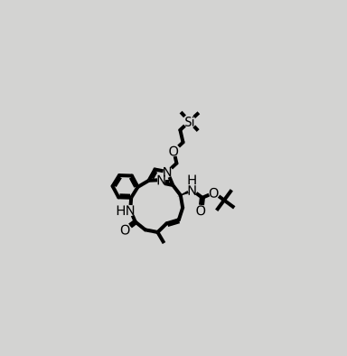 CC1/C=C/C[C@H](NC(=O)OC(C)(C)C)c2nc(cn2COCC[Si](C)(C)C)-c2ccccc2NC(=O)C1